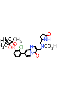 CC1(C)OB(c2cccc(-c3ccn4c(=O)c(CN(CC5CCC(=O)N5)C(=O)O)cnc4c3)c2Cl)OC1(C)C